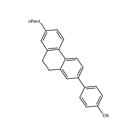 CCCCCc1ccc2c(c1)CCc1cc(-c3ccc(C#N)cc3)ccc1-2